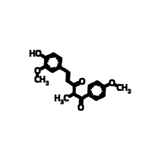 COc1ccc(C(=O)C(C)C(=O)C=Cc2ccc(O)c(OC)c2)cc1